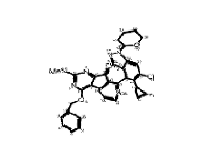 C=C1c2nc(SC)nc(OCc3ccccc3)c2-c2ccnc(-c3c(C4CC4)c(Cl)cc4c3cnn4C3CCCCO3)c21